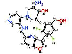 CC1CN(c2ccncc2NCc2ccc3occ(-c4c(F)cc(CO)cc4F)c3n2)CC(N)C1O